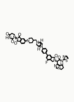 O=C1CCN(N2C(=O)c3ccc(N4CCC(CN5C[C@H]6C[C@@H]5CN6c5ccc(-c6cc(F)c7c(c6)C(=O)N(C(C(=O)Nc6nccs6)c6ncn8c6CCC8)C7)cc5)CC4)cc3C2=O)C(=O)N1